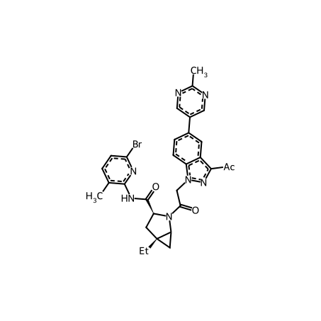 CC[C@]12CC1N(C(=O)Cn1nc(C(C)=O)c3cc(-c4cnc(C)nc4)ccc31)[C@H](C(=O)Nc1nc(Br)ccc1C)C2